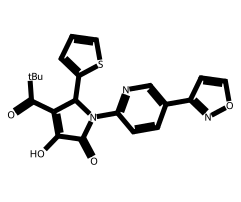 CC(C)(C)C(=O)C1=C(O)C(=O)N(c2ccc(-c3ccon3)cn2)C1c1cccs1